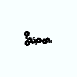 C[n+]1c(C=C2C=CN(Cc3ccccc3)c3ccccc32)sc2cc(-c3ccc4[nH]ccc4c3)ccc21